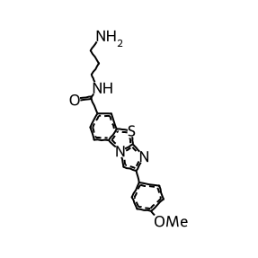 COc1ccc(-c2cn3c(n2)sc2cc(C(=O)NCCCN)ccc23)cc1